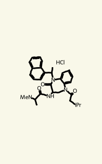 CNC(C)C(=O)NC1CN(C(=O)CC(C)C)c2ccccc2N(C(C)c2cccc3ccccc23)C1=O.Cl